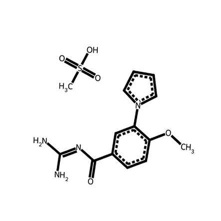 COc1ccc(C(=O)N=C(N)N)cc1-n1cccc1.CS(=O)(=O)O